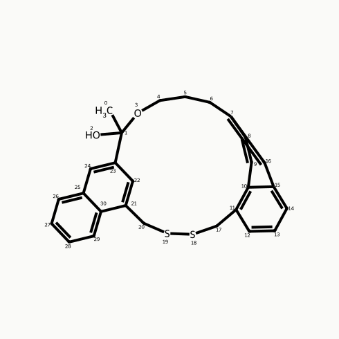 CC1(O)OCCCc2ccc3c(cccc3c2)CSSCc2cc1cc1ccccc21